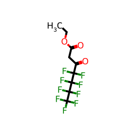 CCOC(=O)CC(=O)C(F)(F)C(F)(F)C(F)(F)C(F)(F)F